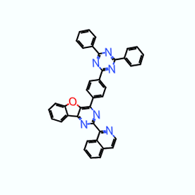 c1ccc(-c2nc(-c3ccccc3)nc(-c3ccc(-c4nc(-c5nccc6ccccc56)nc5c4oc4ccccc45)cc3)n2)cc1